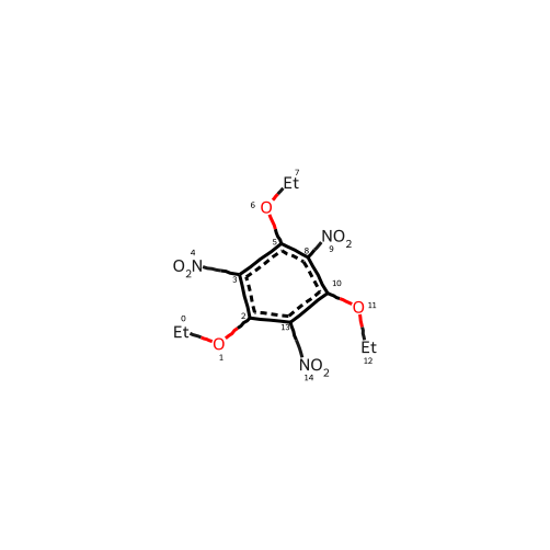 CCOc1c([N+](=O)[O-])c(OCC)c([N+](=O)[O-])c(OCC)c1[N+](=O)[O-]